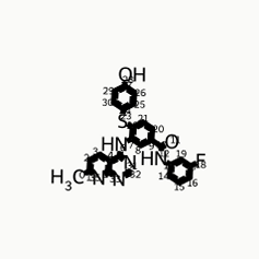 Cc1ccc2c(Nc3cc(C(=O)Nc4cccc(F)c4)ccc3Sc3ccc(O)cc3)ncnc2n1